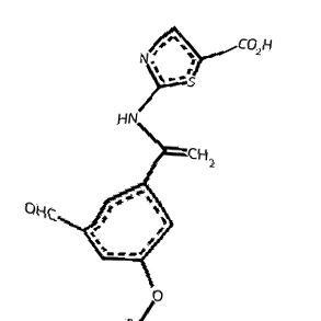 C=C(Nc1ncc(C(=O)O)s1)c1cc(C=O)cc(OC(C)C)c1